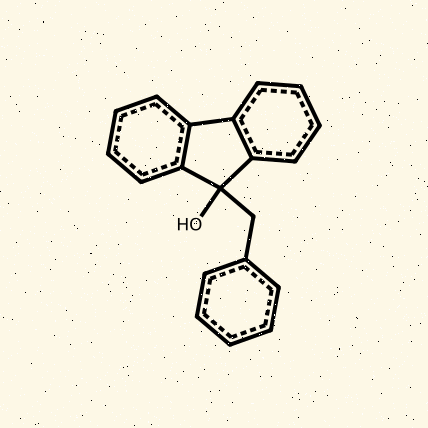 OC1(Cc2ccccc2)c2ccccc2-c2ccccc21